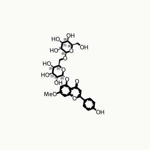 COc1cc(O[C@H]2O[C@H](CO[C@@H]3O[C@H](CO)[C@H](O)[C@H](O)[C@H]3O)[C@H](O)[C@H](O)[C@H]2O)c2c(=O)cc(-c3ccc(O)cc3)oc2c1